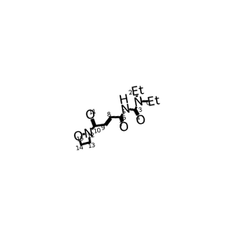 CCN(CC)C(=O)NC(=O)/C=C/C(=O)N1CCO1